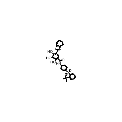 CC(C)(C)c1ccccc1S(=O)(=O)c1ccc(NC(=O)c2cc(-c3nc4ccccc4s3)c(O)c(O)c2O)cc1